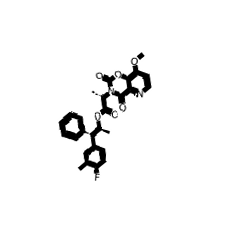 COc1ccnc2c(=O)n([C@@H](C)C(=O)O[C@@H](C)[C@@H](c3ccccc3)c3ccc(F)c(C)c3)c(=O)oc12